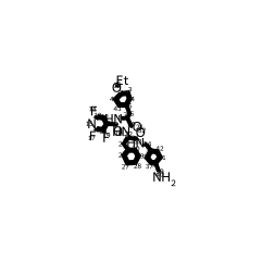 CCOc1ccc(CC(NC(=O)c2cc(F)nc(F)c2F)C(=O)NC(Cc2ccccc2)C(=O)NCc2ccc(CN)cc2)cc1